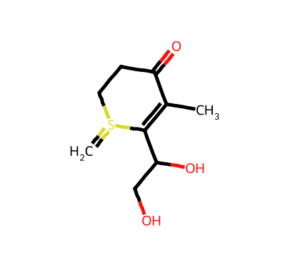 C=S1CCC(=O)C(C)=C1C(O)CO